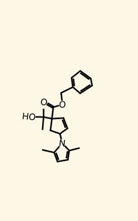 Cc1ccc(C)n1C1C=CC(C(=O)OCc2ccccc2)(C(C)(C)O)C1